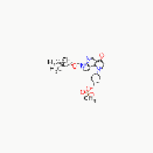 C[Si](C)(C)CCOCn1ccc2c1ncc1c(=O)ccn(C3CCC(COS(C)(=O)=O)CC3)c12